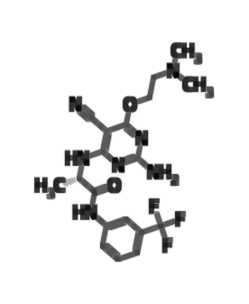 C[C@H](Nc1nc(N)nc(OCCN(C)C)c1C#N)C(=O)Nc1cccc(C(F)(F)F)c1